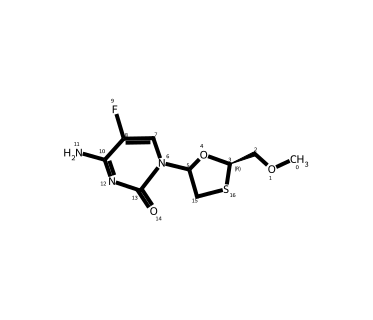 COC[C@@H]1OC(n2cc(F)c(N)nc2=O)CS1